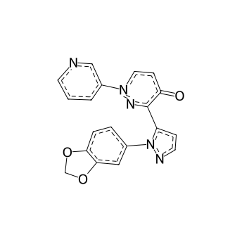 O=c1ccn(-c2cccnc2)nc1-c1ccnn1-c1ccc2c(c1)OCO2